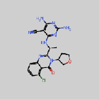 C[C@H](Nc1nc(N)nc(N)c1C#N)c1nc2cccc(Cl)c2c(=O)n1C1CCOC1